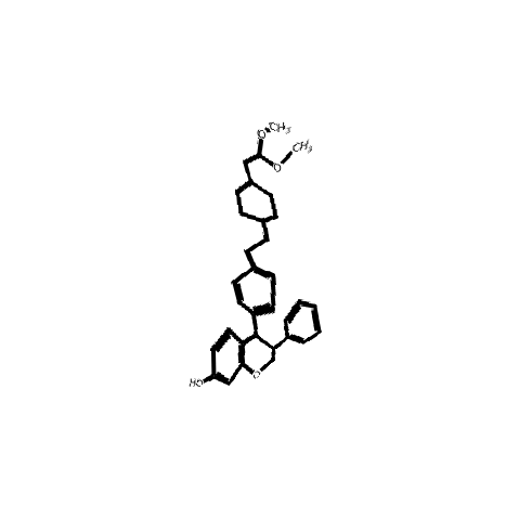 COC(CC1CCC(CCc2ccc(C3c4ccc(O)cc4OCC3c3ccccc3)cc2)CC1)OC